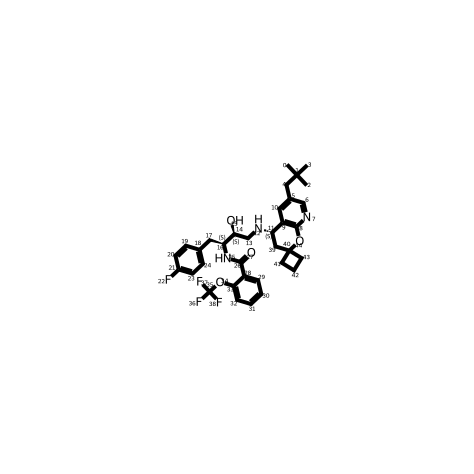 CC(C)(C)Cc1cnc2c(c1)[C@@H](NC[C@H](O)[C@H](Cc1ccc(F)cc1)NC(=O)c1ccccc1OC(F)(F)F)CC1(CCC1)O2